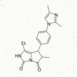 CCc1[nH]c(=O)n2c1C(c1ccc(-n3cc(C)nc3C)cc1)C(C)C2=O